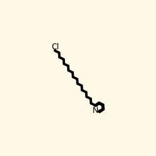 ClCCCCCCCCCCCCCCCCCc1ccccn1